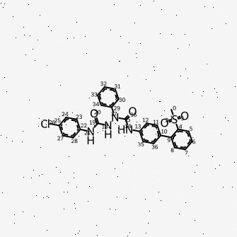 CS(=O)(=O)c1ccccc1-c1ccc(NC(=O)N(NC(=O)Nc2ccc(Cl)cc2)c2ccccc2)cc1